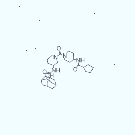 O=C(NC1CCN(C(=O)N2CCCC(NC(=O)C34CC5CC(C3)C(O)C(C5)C4)C2)CC1)C1CCCC1